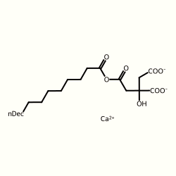 CCCCCCCCCCCCCCCCCC(=O)OC(=O)CC(O)(CC(=O)[O-])C(=O)[O-].[Ca+2]